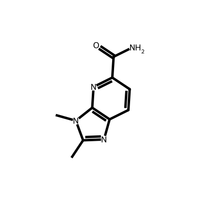 Cc1nc2ccc(C(N)=O)nc2n1C